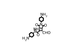 Nc1ccc(N(N)C(=O)C2C(C=O)C3C(=O)N(c4ccc(N)cc4)C(=O)C23)cc1